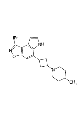 CC1CCN(C2CC(c3cc4onc(C(C)C)c4c4cc[nH]c34)C2)CC1